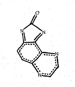 O=C1N=c2ccc3nccnc3c2=N1